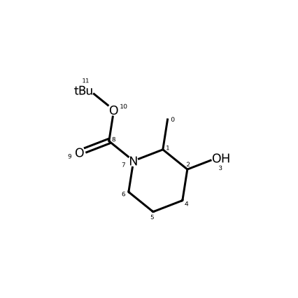 CC1C(O)CCCN1C(=O)OC(C)(C)C